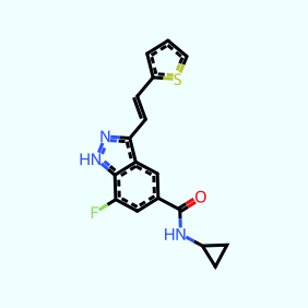 O=C(NC1CC1)c1cc(F)c2[nH]nc(/C=C/c3cccs3)c2c1